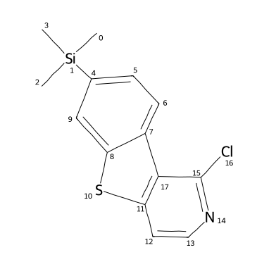 C[Si](C)(C)c1ccc2c(c1)sc1ccnc(Cl)c12